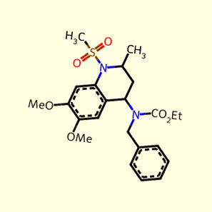 CCOC(=O)N(Cc1ccccc1)C1CC(C)N(S(C)(=O)=O)c2cc(OC)c(OC)cc21